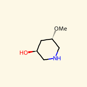 CO[C@@H]1CNC[C@@H](O)C1